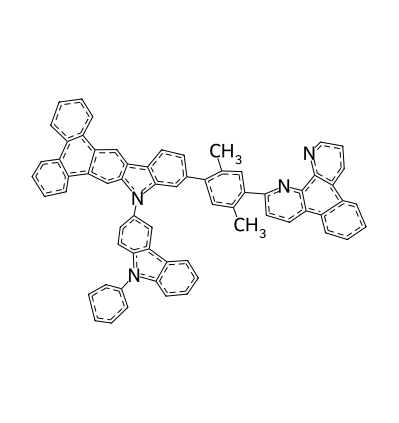 Cc1cc(-c2ccc3c4ccccc4c4cccnc4c3n2)c(C)cc1-c1ccc2c3cc4c5ccccc5c5ccccc5c4cc3n(-c3ccc4c(c3)c3ccccc3n4-c3ccccc3)c2c1